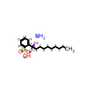 CCCCCCCCCC(I)(I)c1ccccc1S(=O)(=O)O.N